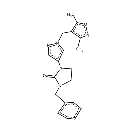 Cc1noc(C)c1Cn1cc(N2CCN(Cc3ccccc3)C2=O)cn1